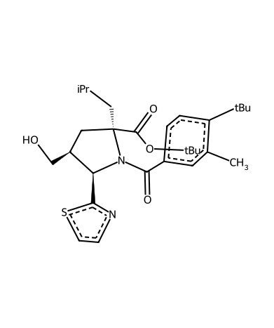 Cc1cc(C(=O)N2[C@@H](c3nccs3)[C@@H](CO)C[C@@]2(CC(C)C)C(=O)OC(C)(C)C)ccc1C(C)(C)C